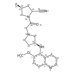 COc1ccc2ncccc2c1N[C@H]1CCN(CC(=O)N2C[C@@H](F)CC2C#N)C1